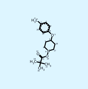 Cc1ccc(OC2CCN(OC(=O)C(C)(C)C)CC2)cc1